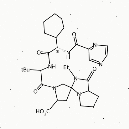 CCN1C(=O)C2CCCN2C12CC(C(=O)O)N(C(=O)C(NC(=O)[C@@H](NC(=O)c1cnccn1)C1CCCCC1)C(C)(C)C)C2